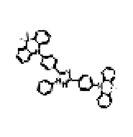 CC1(C)c2ccccc2N(c2ccc(-c3nc(-c4ccc(N5c6ccccc6Oc6ccccc65)cc4)nn3-c3ccccc3)cc2)c2ccccc21